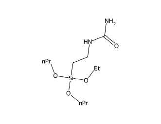 CCCO[Si](CCNC(N)=O)(OCC)OCCC